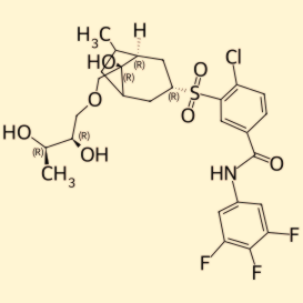 CC1CC2C[C@@H](S(=O)(=O)c3cc(C(=O)Nc4cc(F)c(F)c(F)c4)ccc3Cl)C[C@H]1[C@@]2(O)COC[C@@H](O)[C@@H](C)O